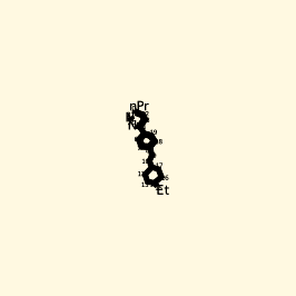 CCCc1ccc(-c2ccc(CCC3CCC(CC)CC3)cc2)nn1